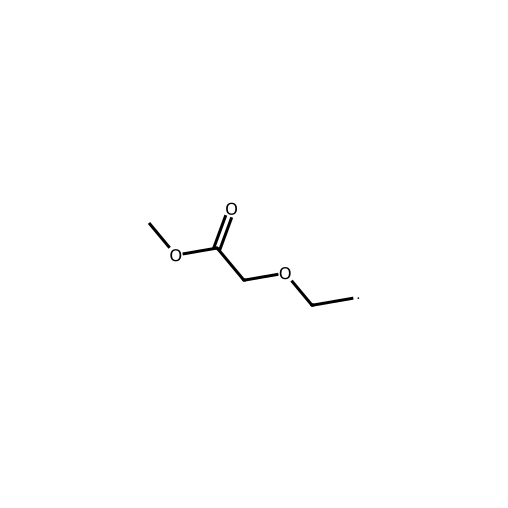 [CH2]COCC(=O)OC